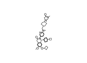 COc1cc2c(cc1OC1CCC1)[C@H](c1ccc(Cl)cc1)N(c1ccc(N(C)CC3CCC(N4CC(=O)N(C)C4)CC3)nc1)C(=O)C2